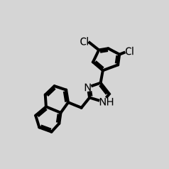 Clc1cc(Cl)cc(-c2c[nH]c(Cc3cccc4ccccc34)n2)c1